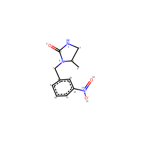 CC1CNC(=O)N1Cc1cccc([N+](=O)[O-])c1